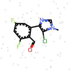 Cn1cnc(-c2cc(F)cc(F)c2C=O)c1Cl